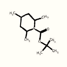 CC1CC(C)N(C(=O)OC(C)(C)C)C(C)C1